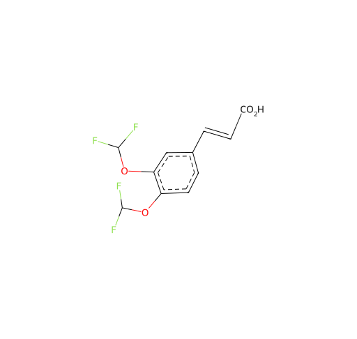 O=C(O)/C=C/c1ccc(OC(F)F)c(OC(F)F)c1